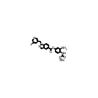 CC(C)(C)OC(=O)Nc1ccc(OC(=O)c2ccc3c(cnn3Cc3cncc(F)c3)c2)cc1N